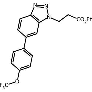 CCOC(=O)CCn1nnc2ccc(-c3ccc(OC(F)(F)F)cc3)cc21